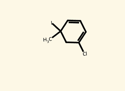 CC1(I)C=CC=C(Cl)C1